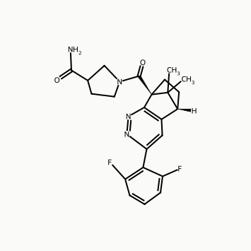 CC1(C)[C@@H]2CC[C@@]1(C(=O)N1CCC(C(N)=O)C1)c1nnc(-c3c(F)cccc3F)cc12